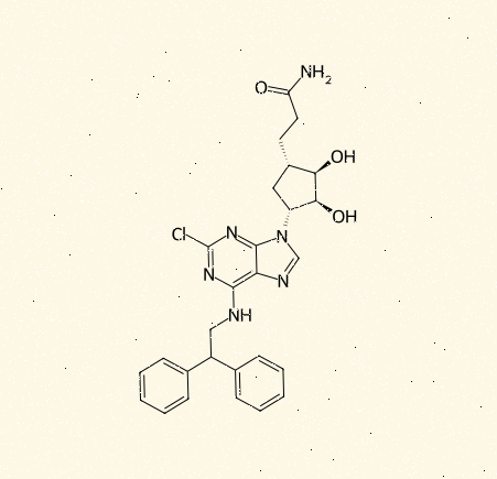 NC(=O)CC[C@H]1C[C@@H](n2cnc3c(NCC(c4ccccc4)c4ccccc4)nc(Cl)nc32)[C@H](O)[C@@H]1O